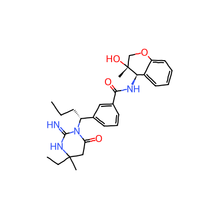 CCC[C@H](c1cccc(C(=O)N[C@@H]2c3ccccc3OC[C@@]2(C)O)c1)N1C(=N)NC(C)(CC)CC1=O